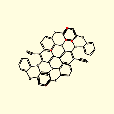 N#Cc1ccc(-c2ccc(C#N)c(N3c4ccccc4Sc4ccccc43)c2N2c3ccccc3Sc3ccccc32)c(N2c3ccccc3Sc3ccccc32)c1N1c2ccccc2Sc2ccccc21